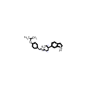 C\C=C(/C=C\C=N\C=C\c1ccc(OC(C)C)cc1)c1ccc2cc[nH]c2c1